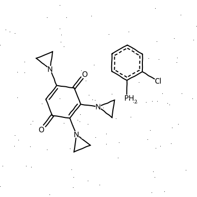 O=C1C=C(N2CC2)C(=O)C(N2CC2)=C1N1CC1.Pc1ccccc1Cl